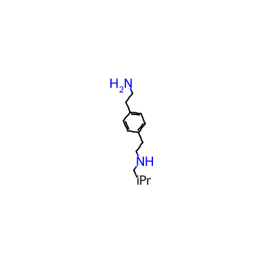 CC(C)CNCCc1ccc(CCN)cc1